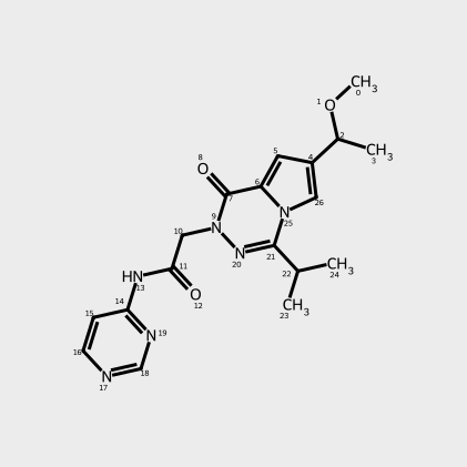 COC(C)c1cc2c(=O)n(CC(=O)Nc3ccncn3)nc(C(C)C)n2c1